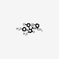 CCc1cccc(C)c1NC(=O)c1c(-c2cccc(Cl)c2)n(-c2ccc(C)cc2)c(C)cc1=O